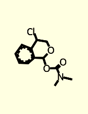 CN(C)C(=O)OC1OCC(Cl)c2ccccc21